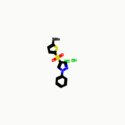 CNc1ccc(S(=O)(=O)c2cnn(-c3ccccc3)c2)s1.Cl.Cl